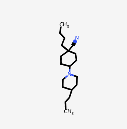 CCCCC1(C#N)CCC(N2CCC(CCC)CC2)CC1